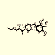 CCSC[C@H](N)C(=S)N1CCN(Cc2ccc(OC)c(OC)c2OC)CC1